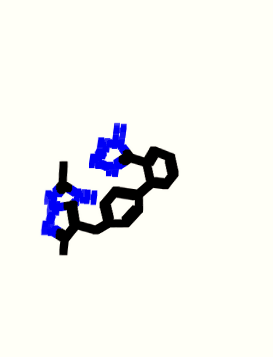 Cc1nn2nc(C)c(Cc3ccc(-c4ccccc4-c4nnn[nH]4)cc3)c2[nH]1